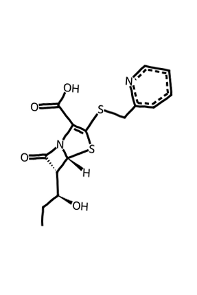 CC[C@H](O)[C@@H]1C(=O)N2C(C(=O)O)=C(SCc3ccccn3)S[C@H]12